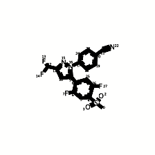 CS(=O)(=O)c1cc(F)c(-c2cc(C(F)F)nn2-c2ccc(C#N)cc2)cc1F